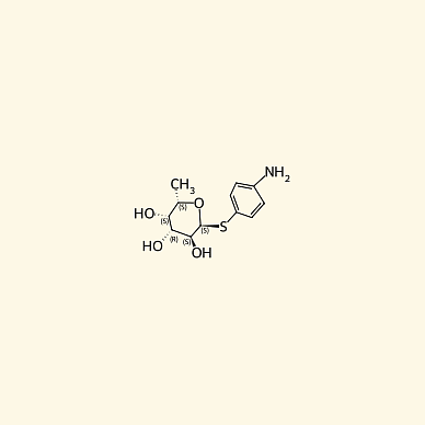 C[C@@H]1O[C@@H](Sc2ccc(N)cc2)[C@@H](O)[C@H](O)[C@@H]1O